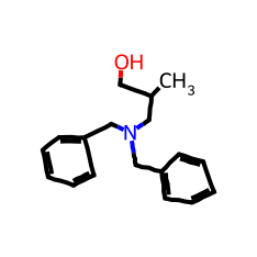 CC(CO)CN(Cc1ccccc1)Cc1ccccc1